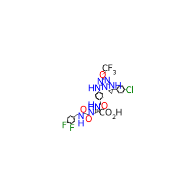 O=C(NCc1ccc(F)c(F)c1)C(=O)NC[C@H](NC(=O)c1ccc(Nc2nc(NC3(c4ccc(Cl)cc4)CC3)nc(OCC(F)(F)F)n2)cc1)C(=O)O